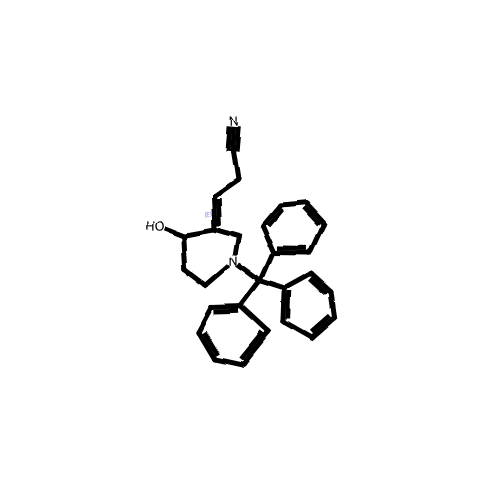 N#CC/C=C1\CN(C(c2ccccc2)(c2ccccc2)c2ccccc2)CCC1O